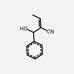 C/C=C(/C#N)C(O)c1ccccc1